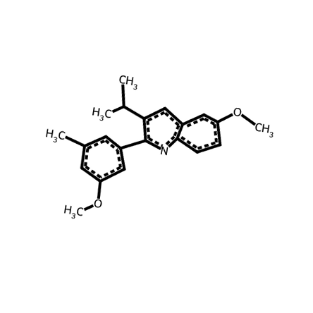 COc1cc(C)cc(-c2nc3ccc(OC)cc3cc2C(C)C)c1